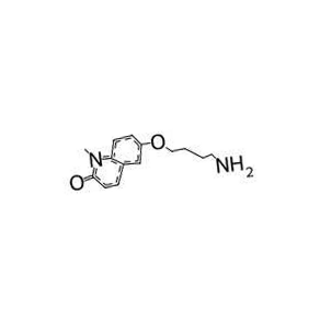 Cn1c(=O)ccc2cc(OCCCCN)ccc21